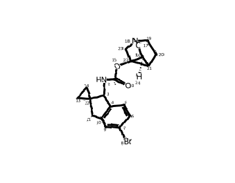 O=C(NC1c2ccc(Br)cc2CC12CC2)O[C@H]1CN2CCC1CC2